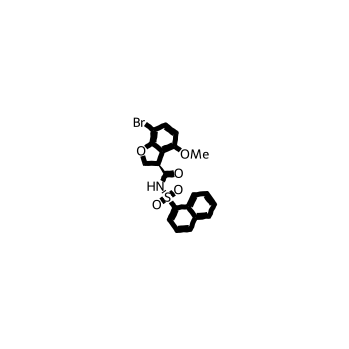 COc1ccc(Br)c2c1[C@@H](C(=O)NS(=O)(=O)c1cccc3ccccc13)CO2